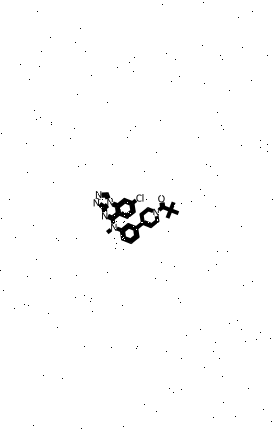 CN(c1cccc(C2=CCN(C(=O)C(C)(C)C)CC2)c1)c1nc2nncn2c2cc(Cl)ccc12